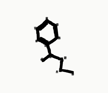 CSSC(C)c1ccccc1